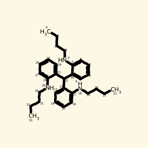 CCCCNc1ccccc1[C](c1ccccc1NCCCC)c1ccccc1NCCCC